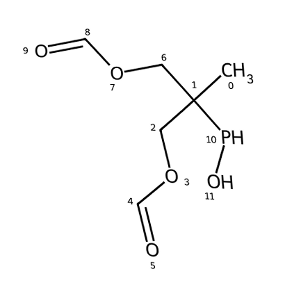 CC(COC=O)(COC=O)PO